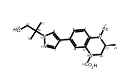 CC(=O)N1c2ccc(-c3cnn(C(C)(C)CO)c3)cc2N(C(=O)O)C[C@@H]1C